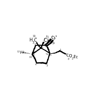 CCOC(=O)C[C@]12CC[C@@H](CC1=O)C2(C)C